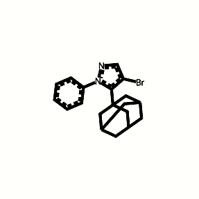 Brc1cnn(-c2ccccc2)c1C12CC3CC(CC(C3)C1)C2